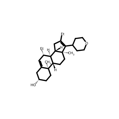 CCC1=C(C2CCOCC2)[C@@]2(C)CC[C@H]3[C@@H]([C@@H](CC)C=C4C[C@@H](O)CC[C@@]43C)[C@@H]2C1